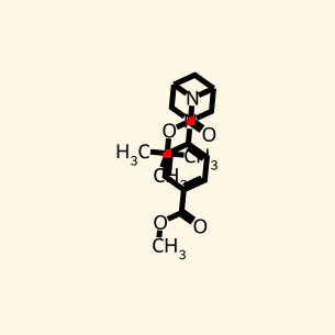 COC(=O)c1ccc(N2CC3CC(C2)N3C(=O)OC(C)(C)C)cc1